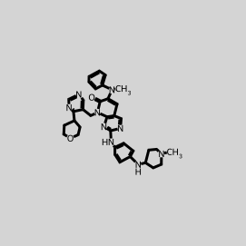 CN1CCC(Nc2ccc(Nc3ncc4cc(N(C)c5ccccc5)c(=O)n(Cc5cncnc5C5CCOCC5)c4n3)cc2)CC1